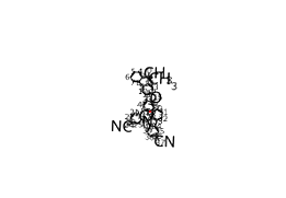 CC1(C)c2ccccc2-c2cc3c(cc21)oc1ccc(-c2ccc(C#N)cc2-n2c4ccccc4c4cc(C#N)ccc42)cc13